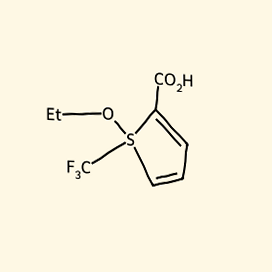 CCOS1(C(F)(F)F)C=CC=C1C(=O)O